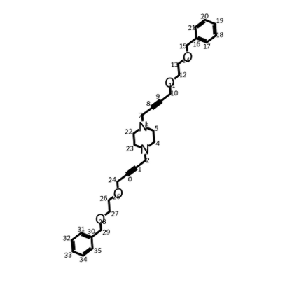 C(#CCN1CCN(CC#CCOCCOCc2ccccc2)CC1)COCCOCc1ccccc1